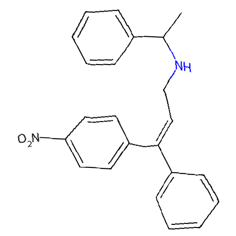 CC(NC/C=C(/c1ccccc1)c1ccc([N+](=O)[O-])cc1)c1ccccc1